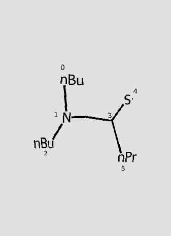 CCCCN(CCCC)C([S])CCC